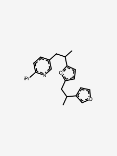 CC(C)c1ccc(CC(C)c2ccc(CC(C)c3ccoc3)o2)cn1